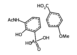 CC(=O)Nc1cccc([As](=O)(O)O)c1O.COc1ccc(C(=O)O)cc1